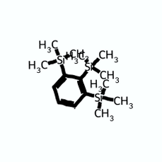 C[Si](C)(C)c1[c]ccc([Si](C)(C)C)c1[Si](C)(C)C